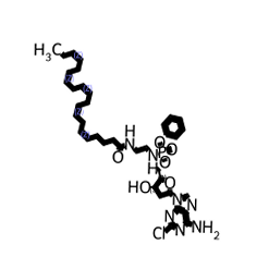 CC/C=C\C/C=C\C/C=C\C/C=C\C/C=C\CCCC(=O)NCCNP(=O)(OC[C@H]1OC(n2cnc3c(N)nc(Cl)nc32)C[C@@H]1O)Oc1ccccc1